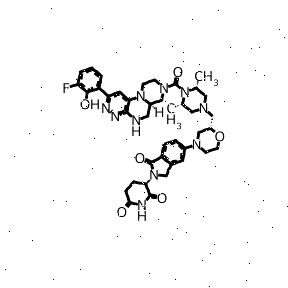 C[C@@H]1CN(C[C@H]2CN(c3ccc4c(c3)CN([C@@H]3CCC(=O)NC3=O)C4=O)CCO2)C[C@H](C)N1C(=O)N1CCN2c3cc(-c4cccc(F)c4O)nnc3NC[C@@H]2C1